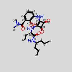 CCCC(CCC)NC(=O)[C@@H](CC)Nc1c(Nc2cccc(C(=O)N(C)C)c2O)c(=O)c1=O